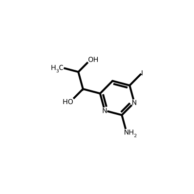 CC(O)[C](O)c1cc(I)nc(N)n1